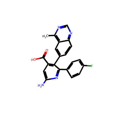 Cc1ncnc2ccc(-c3c(C(=O)O)cc(N)nc3-c3ccc(F)cc3)cc12